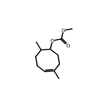 COC(=O)OC1CCC(C)=CCCC1C